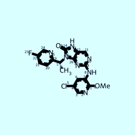 COc1ncc(Cl)cc1Nc1ncc2[nH]c(=O)n([C@H](C)c3ccc(F)cn3)c2n1